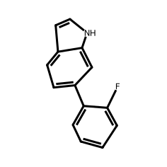 Fc1ccccc1-c1ccc2cc[nH]c2c1